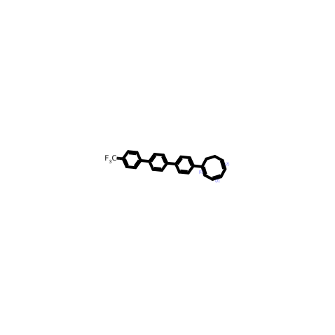 FC(F)(F)c1ccc(-c2ccc(-c3ccc(/C4=C/C=C\C=C/CC4)cc3)cc2)cc1